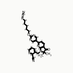 CC1(C)C(=O)c2ccc(-c3cnc(OCCCCCN=[N+]=[N-])nc3)nc2N1Cc1cccnc1C#N